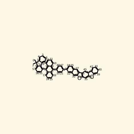 CC1(C)c2ccccc2-c2c(-c3c4ccccc4c(-c4ccc(-c5ccc6cc7c(cc6c5)oc5cc6oc8ccccc8c6cc57)cc4)c4ccccc34)cccc21